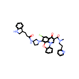 CN(CCc1ccccn1)C(=O)c1cn2c3c(c(N4CCC(NC(=O)CCC5CNc6ccccc65)C4)c(F)cc3c1=O)Oc1ccccc1-2